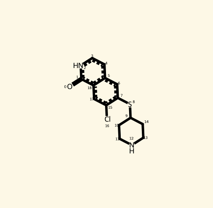 O=c1[nH]ccc2cc(SC3CCNCC3)c(Cl)cc12